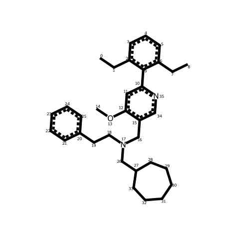 CCc1cccc(CC)c1-c1cc(OC)c(CN(CCc2ccccc2)CC2CCCCCC2)cn1